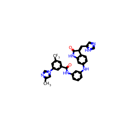 Cc1cn(-c2cc(C(=O)Nc3cccc(Nc4ccc5c(c4)NC(=O)C5=Cc4cnc[nH]4)c3)cc(C(F)(F)F)c2)cn1